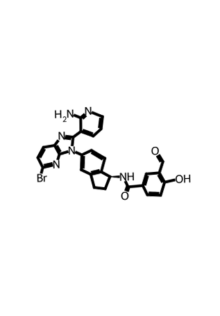 Nc1ncccc1-c1nc2ccc(Br)nc2n1-c1ccc2c(c1)CC[C@@H]2NC(=O)c1ccc(O)c(C=O)c1